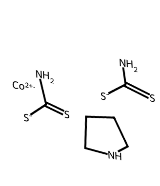 C1CCNC1.NC(=S)[S-].NC(=S)[S-].[Co+2]